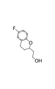 OCCC1CCc2cc(F)ccc2O1